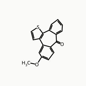 COc1ccc2c(=O)c3ccccc3c3sccc3c2c1